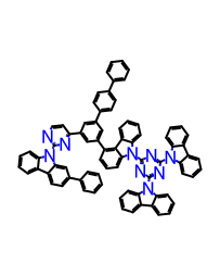 c1ccc(-c2ccc(-c3cc(-c4ccnc(-n5c6ccccc6c6ccc(-c7ccccc7)cc65)n4)cc(-c4cccc5c4c4ccccc4n5-c4nc(-n5c6ccccc6c6ccccc65)nc(-n5c6ccccc6c6ccccc65)n4)c3)cc2)cc1